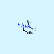 CCCCCN.CCNCC